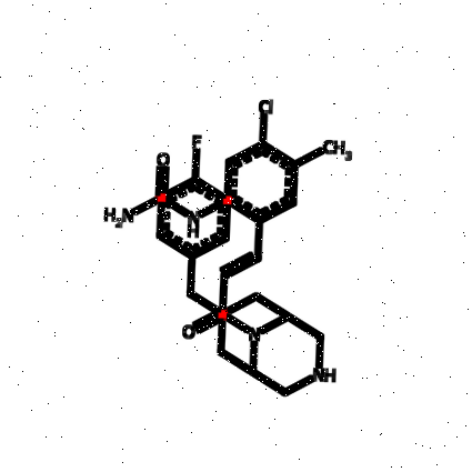 Cc1cc(/C=C/C(=O)N2C3CNCC2CN(Cc2ccc(F)cc2)C3)c(NC(N)=O)cc1Cl